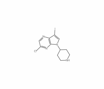 Clc1cnc2c(I)cn(C3CCNCC3)c2n1